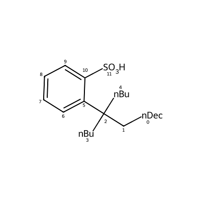 CCCCCCCCCCCC(CCCC)(CCCC)c1ccccc1S(=O)(=O)O